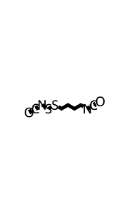 O=C=NCCCCSSN=C=O